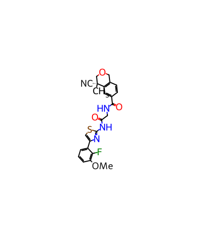 COc1cccc(-c2csc(NC(=O)CNC(=O)c3ccc4c(c3)[C@](C)(C#N)COC4)n2)c1F